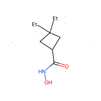 CCC1(CC)CC(C(=O)NO)C1